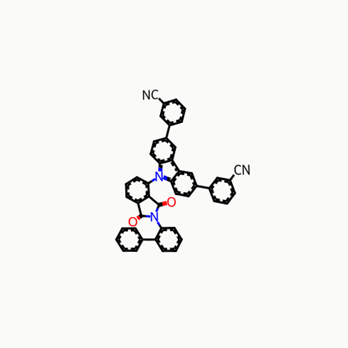 N#Cc1cccc(-c2ccc3c(c2)c2cc(-c4cccc(C#N)c4)ccc2n3-c2cccc3c2C(=O)N(c2ccccc2-c2ccccc2)C3=O)c1